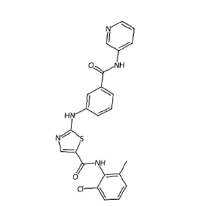 Cc1cccc(Cl)c1NC(=O)c1cnc(Nc2cccc(C(=O)Nc3cccnc3)c2)s1